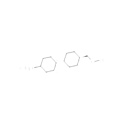 CCCCCCCC1CCC([C@H]2CC[C@H](COCC)CC2)CC1